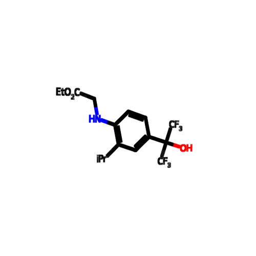 CCOC(=O)CNc1ccc(C(O)(C(F)(F)F)C(F)(F)F)cc1C(C)C